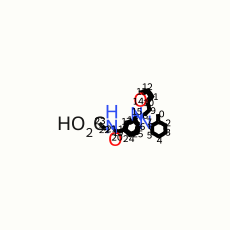 CC1CCCCC1n1c(Cc2ccco2)nc2cc(C(=O)NCC(=O)O)ccc21